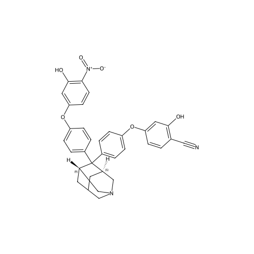 N#Cc1ccc(Oc2ccc(C3(c4ccc(Oc5ccc([N+](=O)[O-])c(O)c5)cc4)[C@@H]4CC5C[C@H]3CN(C5)C4)cc2)cc1O